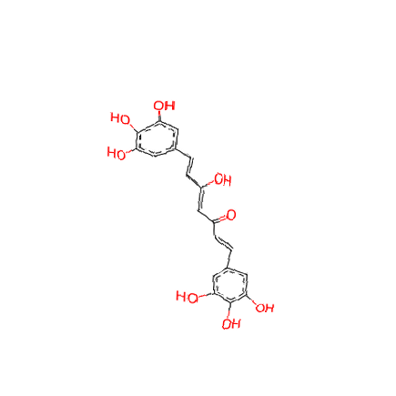 O=C(/C=C(O)/C=C/c1cc(O)c(O)c(O)c1)/C=C/c1cc(O)c(O)c(O)c1